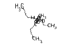 CCCCC/C=C\CCC(=O)N(CCCN(C)C)CC(COC(=O)CCCCCCC/C=C\CCCCCCCC)COC(=O)CCCCCCC/C=C\CCCCCCCC